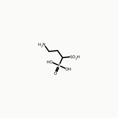 NCCC(P(=O)(O)O)S(=O)(=O)O